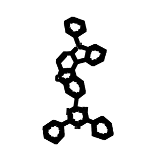 C1=CC2C(c3ccccc3N2c2ccccc2)c2c1oc1cc(-c3nc(-c4ccccc4)nc(-c4ccccc4)n3)ccc21